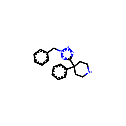 c1ccc(Cn2nnc(C3(c4ccccc4)CCNCC3)n2)cc1